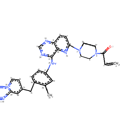 C=CC(=O)N1CCN(c2ccc3ncnc(Nc4ccc(Cc5ccn6ncnc6c5)c(C)c4)c3n2)CC1